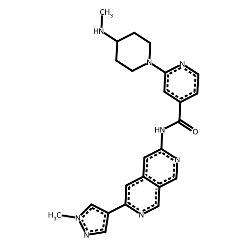 CNC1CCN(c2cc(C(=O)Nc3cc4cc(-c5cnn(C)c5)ncc4cn3)ccn2)CC1